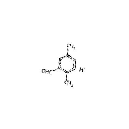 Cc1ccc(C)c(C=O)c1.[H+]